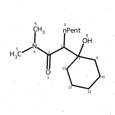 CCCCCC(C(=O)N(C)C)C1(O)CCCCC1